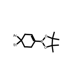 CCC1(C(C)=O)CC=C(B2OC(C)(C)C(C)(C)O2)CC1